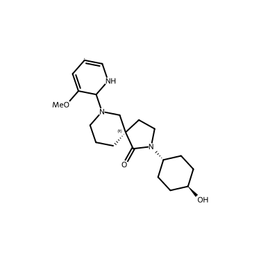 COC1=C[C]=CNC1N1CCC[C@@]2(CCN([C@H]3CC[C@H](O)CC3)C2=O)C1